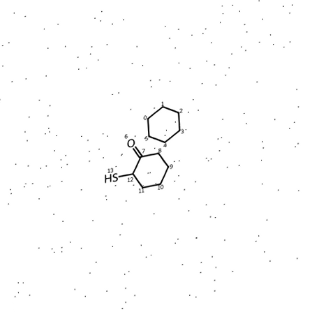 C1CCCCC1.O=C1CCCCC1S